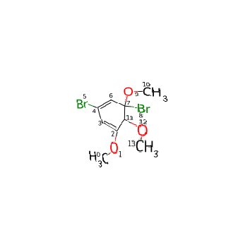 COC1=CC(Br)=CC(Br)(OC)C1OC